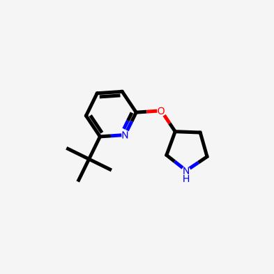 CC(C)(C)c1cccc(OC2CCNC2)n1